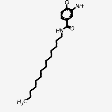 CCCCCCCCCCCCCCNC(=O)c1ccc(Cl)c([NH])c1